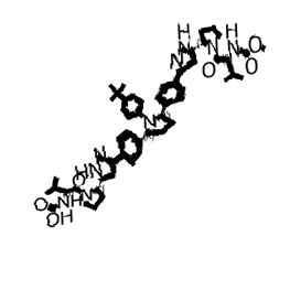 COC(=O)N[C@H](C(=O)N1CCC[C@H]1c1cc(-c2ccc([C@H]3CC[C@H](c4ccc(-c5cc([C@@H]6CCCN6C(=O)[C@@H](NC(=O)O)C(C)C)[nH]n5)cc4)N3c3ccc(C(C)(C)C)cc3)cc2)n[nH]1)C(C)C